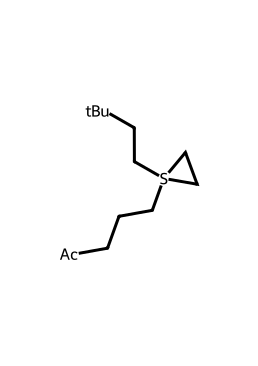 CC(=O)CCCS1(CCC(C)(C)C)CC1